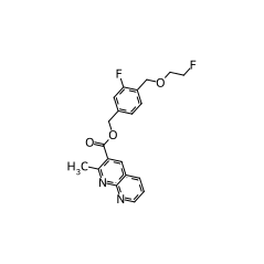 Cc1nc2ncccc2cc1C(=O)OCc1ccc(COCCF)c(F)c1